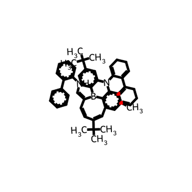 Cc1cc2c3c(c1)N(C1=CCCC=C1C1=CC=CCC1)c1cc(C(C)(C)C)ccc1B3C(=C\Nc1ccccc1-c1ccccc1)/C=C\C(C(C)(C)C)=C/2